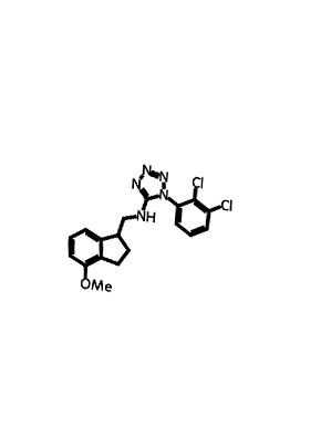 COc1cccc2c1CCC2CNc1nnnn1-c1cccc(Cl)c1Cl